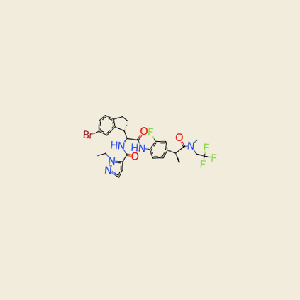 CCn1nccc1C(=O)N[C@H](C(=O)Nc1ccc([C@H](C)C(=O)N(C)CC(F)(F)F)cc1F)[C@H]1CCc2ccc(Br)cc21